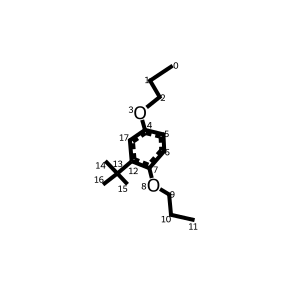 CCCOc1ccc(OCCC)c(C(C)(C)C)c1